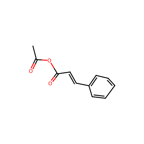 CC(=O)OC(=O)/C=C/c1ccccc1